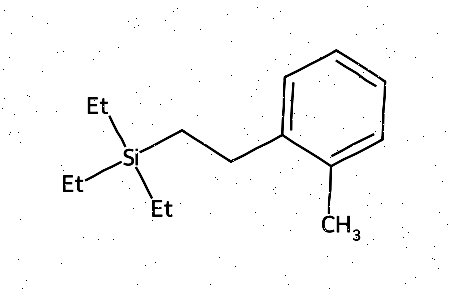 CC[Si](CC)(CC)CCc1ccccc1C